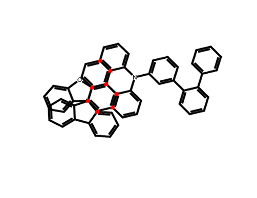 c1ccc(-c2ccccc2-c2cccc(N(c3ccccc3-c3ccccc3-n3c4ccccc4c4ccccc43)c3ccccc3-c3cccc4c3oc3ccccc34)c2)cc1